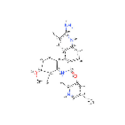 Cc1cc2cc(C(=O)N(Cc3ccc(C(F)(F)F)cn3)C3CCCC4OCCC43)ccc2nc1N